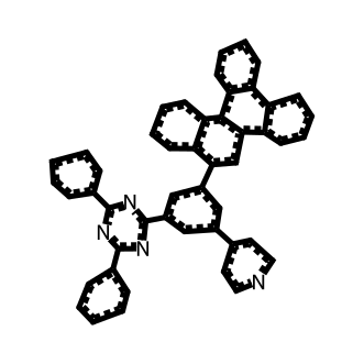 c1ccc(-c2nc(-c3ccccc3)nc(-c3cc(-c4ccncc4)cc(-c4cc5c6ccccc6c6ccccc6c5c5ccccc45)c3)n2)cc1